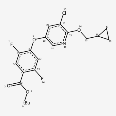 CC(C)(C)OC(=O)c1cc(F)c(Oc2cnc(OCC3CC3)c(Cl)c2)cc1F